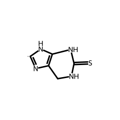 S=C1NCc2n[c][nH]c2N1